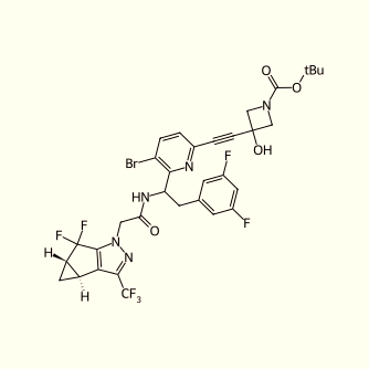 CC(C)(C)OC(=O)N1CC(O)(C#Cc2ccc(Br)c(C(Cc3cc(F)cc(F)c3)NC(=O)Cn3nc(C(F)(F)F)c4c3C(F)(F)[C@H]3C[C@H]43)n2)C1